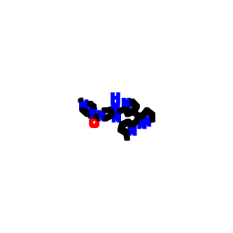 Cc1cccc(-c2nn3c(c2-c2ccnc(-c4nc5c([nH]4)CN(C(=O)N4CCN(C)CC4)C5)c2)CCC3)n1